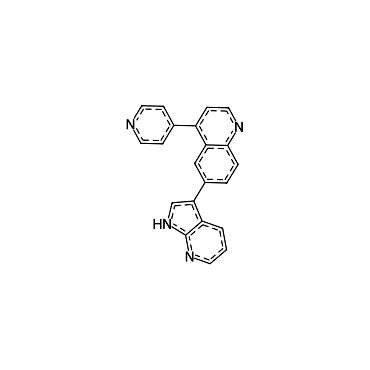 c1cnc2[nH]cc(-c3ccc4nccc(-c5ccncc5)c4c3)c2c1